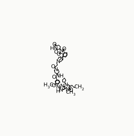 C=CC[C@@H]1CN(C2CCCC2)c2nc(Nc3ccc(C(=O)NC4CCN(C(=O)CCN5CCN(c6cccc7c6C(=O)N(C6CCC(=O)NC6=O)C7=O)CC5)CC4)cc3OC)ncc2N(C)C1=O